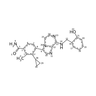 Cc1c(C(N)=O)ccc(-c2cnc3c(NCc4ccccc4O)nccn23)c1C1CC1